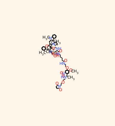 C/N=C(\C=C1/C(=O)C(/C=C2/N(C)c3ccccc3C2(C)C)=C1N1CCC[C@@H]1C(=O)NC(CS(=O)(=O)O)C(=O)NCCCCC(=O)NCCOc1cc([N+](=O)[O-])c(C(C)NCCOCCN2C(=O)C=CC2=O)cc1OC)C(C)(C)c1ccccc1C